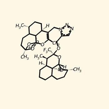 C[C@@H]1CC[C@H]2C(Cn3nncc3CO[C@@]3(C(F)(F)F)O[C@@H]4O[C@]5(C)CCC6CCC[C@@H]([C@H]3C)[C@]64OO5)=C(C(F)(F)F)O[C@@H]3O[C@]4(C)CCC1[C@]32OO4